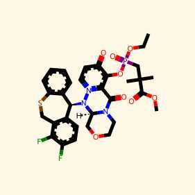 CCOP(=O)(CC(C)(C)C(=O)OC)Oc1c2n(ccc1=O)N([C@@H]1c3ccccc3SCc3c1ccc(F)c3F)[C@@H]1COCCN1C2=O